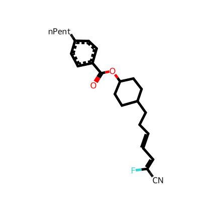 CCCCCc1ccc(C(=O)OC2CCC(CCC=CC=C(F)C#N)CC2)cc1